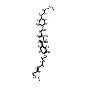 CCCCCCCCOc1ccc(-c2ncc(CC[C@H]3CC[C@H](CCCC)CC3)cn2)cc1